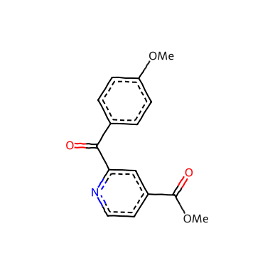 COC(=O)c1ccnc(C(=O)c2ccc(OC)cc2)c1